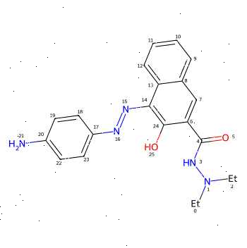 CCN(CC)NC(=O)c1cc2ccccc2c(N=Nc2ccc(N)cc2)c1O